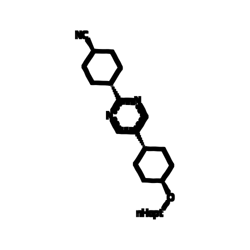 CCCCCCCO[C@H]1CC[C@H](c2cnc([C@H]3CC[C@H](C#N)CC3)nc2)CC1